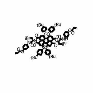 C=CC(=O)Oc1ccc(NC(=O)C(CC(C)C)N2C(=O)c3cc(Oc4ccc(C(C)(C)C)cc4)c4c5c(Oc6ccc(C(C)(C)C)cc6)cc6c7c(cc(Oc8ccc(C(C)(C)C)cc8)c(c8c(Oc9ccc(C(C)(C)C)cc9)cc(c3c48)C2=O)c75)C(=O)N(C(CC(C)C)C(=O)Nc2ccc(OC(=O)C=C)cc2)C6=O)cc1